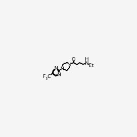 CCNCCCC(=O)N1CCN(c2ncc(C(F)(F)F)cn2)CC1